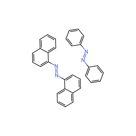 c1ccc(N=Nc2ccccc2)cc1.c1ccc2c(N=Nc3cccc4ccccc34)cccc2c1